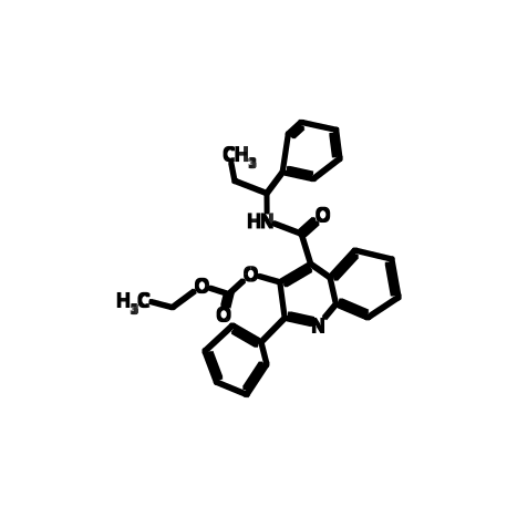 CCOC(=O)Oc1c(-c2ccccc2)nc2ccccc2c1C(=O)NC(CC)c1ccccc1